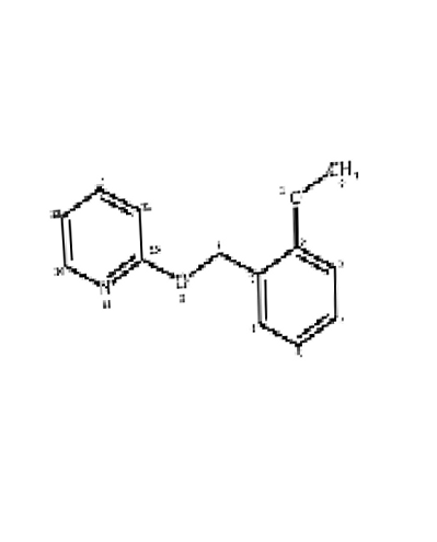 COc1ccccc1COc1ccc[c]n1